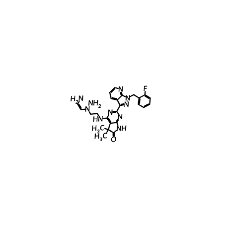 CC1(C)C(=O)Nc2nc(-c3nn(Cc4ccccc4F)c4ncccc34)nc(NCCN(N)/C=C\N)c21